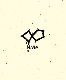 CNC1CCC12CCCC2